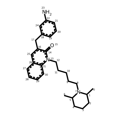 CC1CCCC(C)N1CCCCCn1c(=O)c(Cc2cccc(N)c2)cc2ccccc21